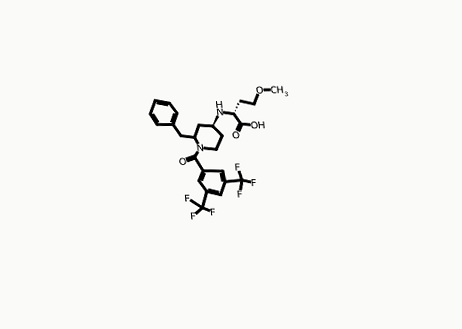 COCC[C@@H](N[C@H]1CCN(C(=O)c2cc(C(F)(F)F)cc(C(F)(F)F)c2)C(Cc2ccccc2)C1)C(=O)O